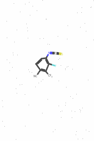 N#Cc1ccc(N=C=S)c(F)c1C(F)(F)F